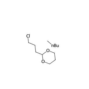 CCCCC.ClCCCC1OCCCO1